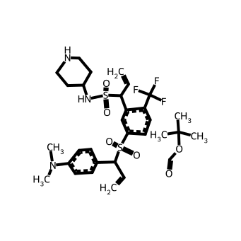 C=CC(c1cc(S(=O)(=O)C(C=C)c2ccc(N(C)C)cc2)ccc1C(F)(F)F)S(=O)(=O)NC1CCNCC1.CC(C)(C)OC=O